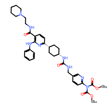 CC(C)(C)OC(=O)N(C(=O)OC(C)(C)C)c1ccc(CNC(=O)N[C@H]2CC[C@@H](c3ccc(C(=O)NCCN4CCCCC4)c(Nc4ccccc4)n3)CC2)cn1